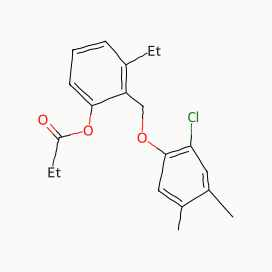 CCC(=O)Oc1cccc(CC)c1COc1cc(C)c(C)cc1Cl